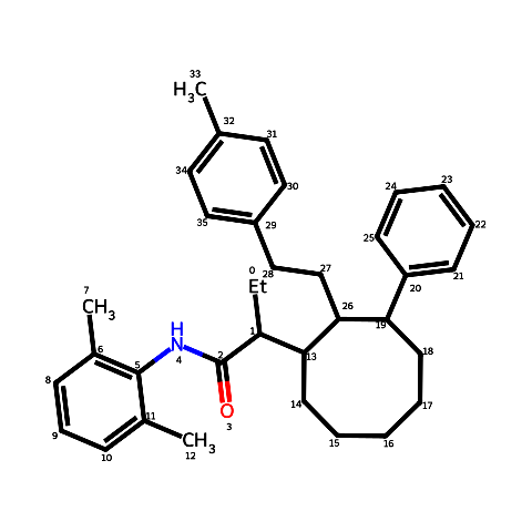 CCC(C(=O)Nc1c(C)cccc1C)C1CCCCCC(c2ccccc2)C1CCc1ccc(C)cc1